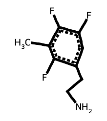 Cc1c(F)c(F)cc(CCN)c1F